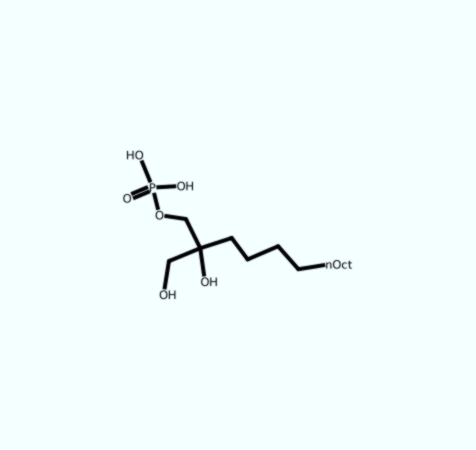 CCCCCCCCCCCCC(O)(CO)COP(=O)(O)O